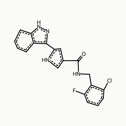 O=C(NCc1c(F)cccc1Cl)c1c[nH]c(-c2n[nH]c3ccccc23)c1